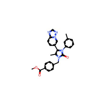 COC(=O)c1ccc(Cn2c(C)c(-c3ccc4ncnn4c3)n(-c3cccc(C)c3)c2=O)cc1